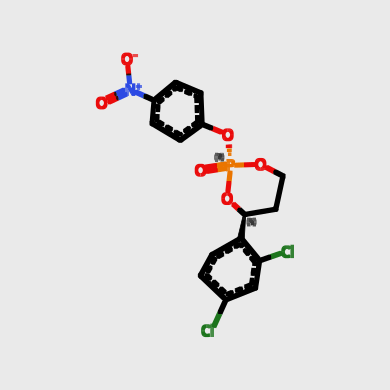 O=[N+]([O-])c1ccc(O[P@]2(=O)OCC[C@@H](c3ccc(Cl)cc3Cl)O2)cc1